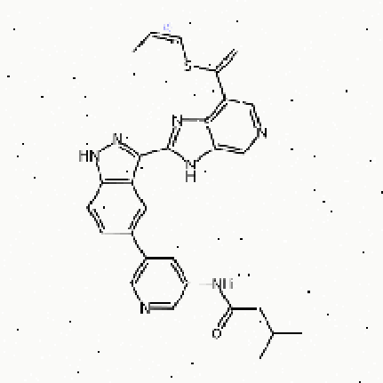 C=C(S/C=C\C)c1cncc2[nH]c(-c3n[nH]c4ccc(-c5cncc(NC(=O)CC(C)C)c5)cc34)nc12